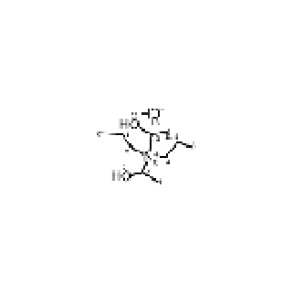 CCC[N+](CCC)(C(C)O)C(C)O.[OH-]